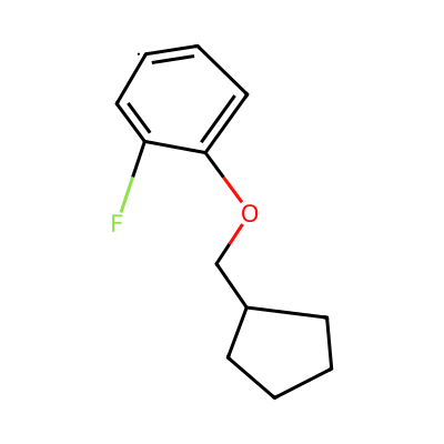 Fc1c[c]ccc1OCC1CCCC1